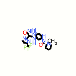 CN1CCCC[C@@H]1C(=O)Nc1ccc2c(c1)N/C(=C(/C(N)=O)c1nccc(C(F)(F)F)n1)N2